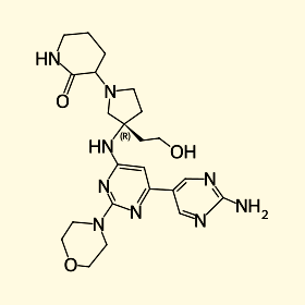 Nc1ncc(-c2cc(N[C@@]3(CCO)CCN(C4CCCNC4=O)C3)nc(N3CCOCC3)n2)cn1